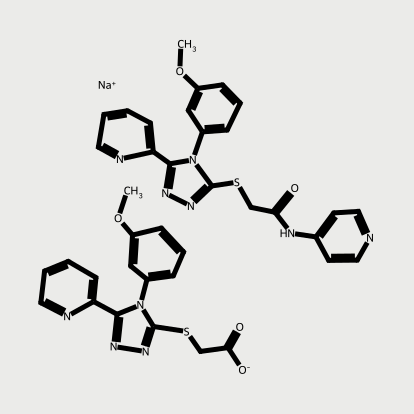 COc1cccc(-n2c(SCC(=O)Nc3ccncc3)nnc2-c2ccccn2)c1.COc1cccc(-n2c(SCC(=O)[O-])nnc2-c2ccccn2)c1.[Na+]